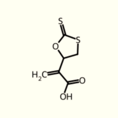 C=C(C(=O)O)C1CSC(=S)O1